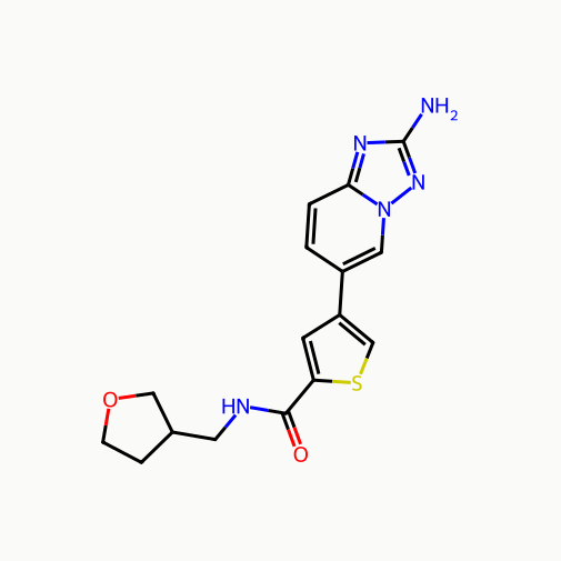 Nc1nc2ccc(-c3csc(C(=O)NCC4CCOC4)c3)cn2n1